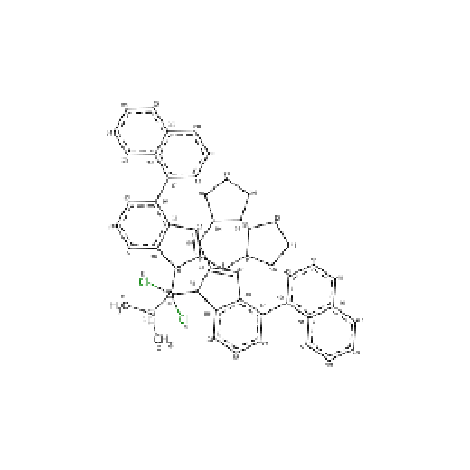 C[SiH](C)[Zr]([Cl])([Cl])([CH]1C(CC2CCCC2)=Cc2c(-c3cccc4ccccc34)cccc21)[CH]1C(CC2CCCC2)=Cc2c(-c3cccc4ccccc34)cccc21